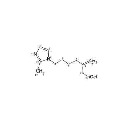 C=C(CCCCCCCCC)CCCCn1ccnc1C